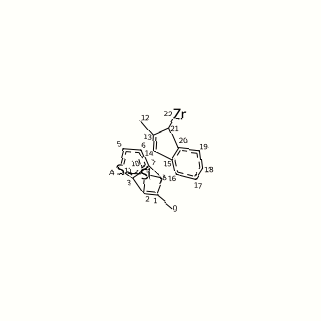 CC1=C2c3sccc3C1[Si]2(C)C.CC1=Cc2ccccc2[CH]1[Zr]